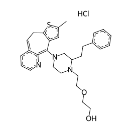 Cc1cc2c(s1)CC=c1cccnc1=C2N1CCN(CCOCCO)C(CCc2ccccc2)C1.Cl